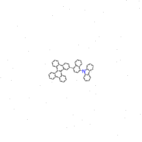 c1ccc2c(-n3c4ccccc4c4ccccc43)ccc(-c3ccc4c5ccccc5c5c6ccccc6c6ccccc6c5c4c3)c2c1